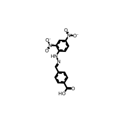 O=C(O)c1ccc(C=NNc2ccc([N+](=O)[O-])cc2[N+](=O)[O-])cc1